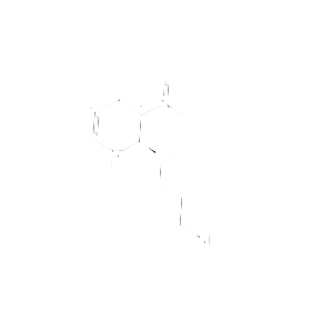 NCCSS[C@H]1NC=CCC1[N+](=O)[O-]